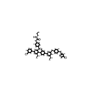 CCCNC(=O)Cc1ccc(Cc2nc(-c3cccc(Cl)c3)nc(CC)c2-c2ccc(-c3nc(CC)cc(Cc4ccc(Cn5cc(Cl)cn5)cc4)n3)cc2Cl)cc1